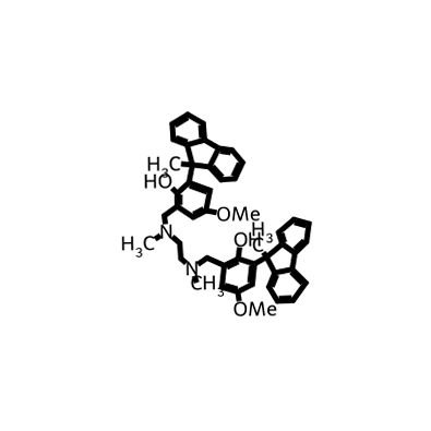 COc1cc(CN(C)CCN(C)Cc2cc(OC)cc(C3(C)c4ccccc4-c4ccccc43)c2O)c(O)c(C2(C)c3ccccc3-c3ccccc32)c1